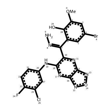 COc1cc(Br)cc(C(=NN)c2nc3nonc3nc2Nc2ccc(F)c(Cl)c2)c1O